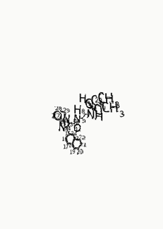 CC(C)(C)OC(=O)NCCNC(=O)c1c(-c2ccc3ccccc3c2)nc2occn12